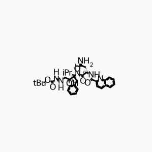 CC(C)[C@](Cc1ccccc1)(NC(=O)[C@H](CC(N)=O)NC(=O)c1ccc2ccccc2n1)[C@H](O)CNNC(=O)OC(C)(C)C